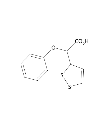 O=C(O)C(Oc1ccccc1)C1C=CSS1